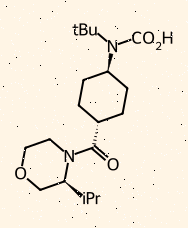 CC(C)[C@H]1COCCN1C(=O)[C@H]1CC[C@H](N(C(=O)O)C(C)(C)C)CC1